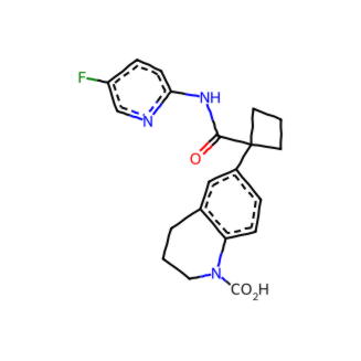 O=C(O)N1CCCc2cc(C3(C(=O)Nc4ccc(F)cn4)CCC3)ccc21